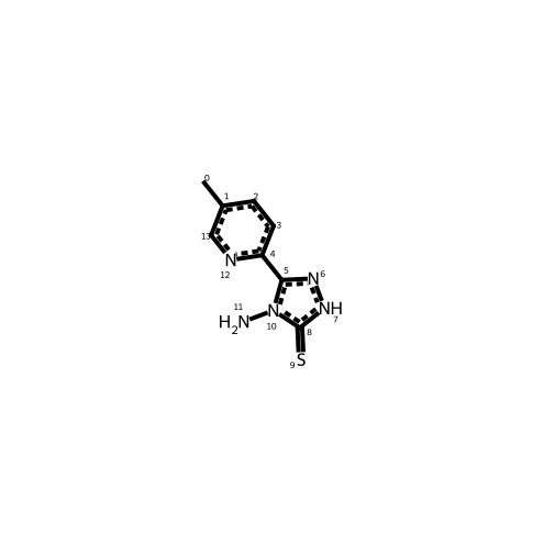 Cc1ccc(-c2n[nH]c(=S)n2N)nc1